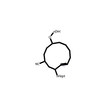 CCCCCCCCCCOC1CCCC/C=C/C(CCCCCCC)CC(C#N)CC1